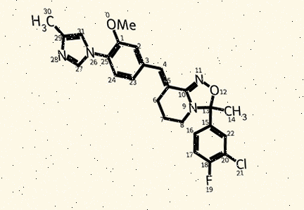 COc1cc(C=C2CCCN3C2=NOC3(C)c2ccc(F)c(Cl)c2)ccc1-n1cnc(C)c1